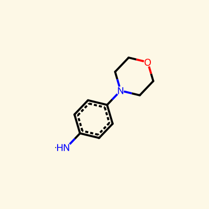 [NH]c1ccc(N2CCOCC2)cc1